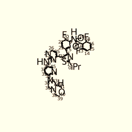 CC(C)c1nc(C2=CC(NS(=O)(=O)C3C(F)=CC=CC3F)C(F)C=C2)c(-c2ccnc(Nc3ccc(N4CCN5CCOC[C@H]5C4)nc3)n2)s1